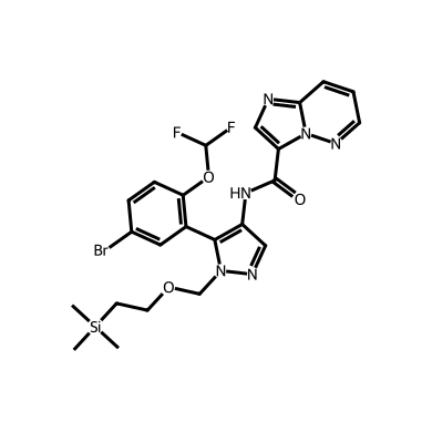 C[Si](C)(C)CCOCn1ncc(NC(=O)c2cnc3cccnn23)c1-c1cc(Br)ccc1OC(F)F